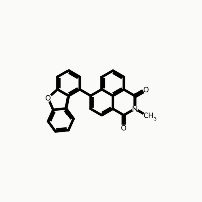 CN1C(=O)c2cccc3c(-c4cccc5oc6ccccc6c45)ccc(c23)C1=O